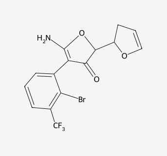 NC1=C(c2cccc(C(F)(F)F)c2Br)C(=O)C(C2CC=CO2)O1